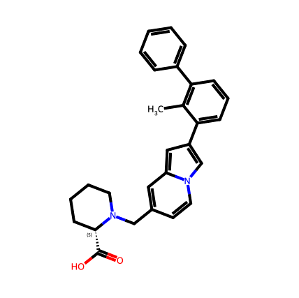 Cc1c(-c2ccccc2)cccc1-c1cc2cc(CN3CCCC[C@H]3C(=O)O)ccn2c1